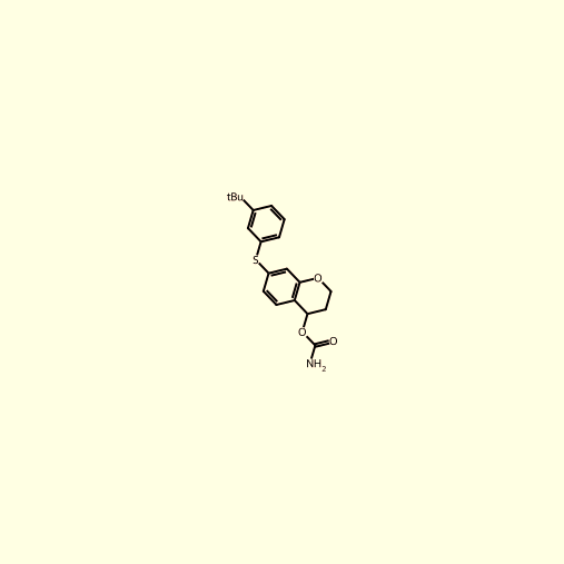 CC(C)(C)c1cccc(Sc2ccc3c(c2)OCCC3OC(N)=O)c1